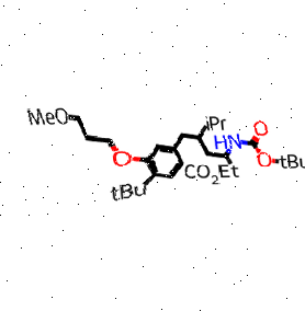 CCOC(=O)C(CC(Cc1ccc(C(C)(C)C)c(OCCCOC)c1)C(C)C)NC(=O)OC(C)(C)C